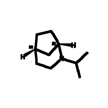 CC(C)N1CC[C@H]2CC[C@@H]1C2